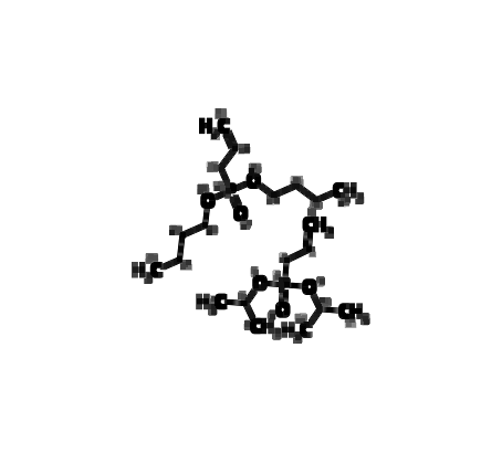 C=CCP(=O)(OC(C)C)OC(C)C.C=CCP(=O)(OCCCC)OCCCC